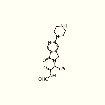 CCCC(C(=O)NC=O)N1Cc2cc(N3CCNCC3)ncc2C1=O